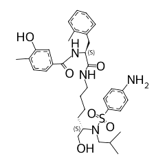 Cc1ccc(C(=O)N[C@@H](Cc2ccccc2C)C(=O)NCCCC[C@@H](CO)N(CC(C)C)S(=O)(=O)c2ccc(N)cc2)cc1O